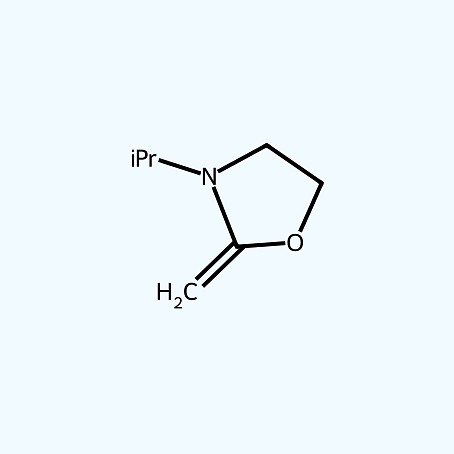 C=C1OCCN1C(C)C